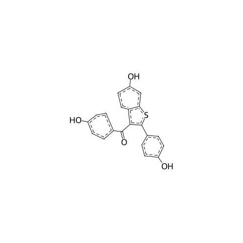 O=C(c1ccc(O)cc1)c1c(-c2ccc(O)cc2)sc2cc(O)ccc12